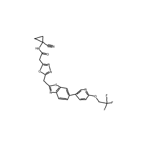 N#CC1(NC(=O)Cc2nnc(Cc3nc4ccc(-c5ccc(OCC(F)(F)F)nc5)cc4s3)o2)CC1